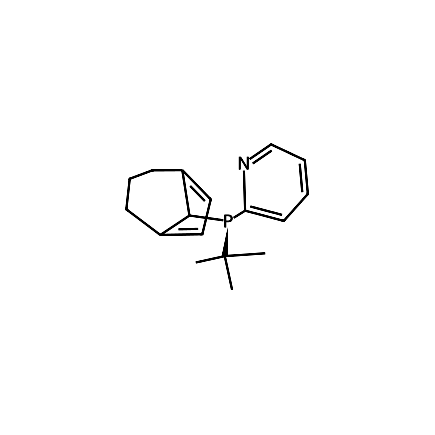 CC(C)(C)[P@](c1ccccn1)C1C2=CC=C1CCC2